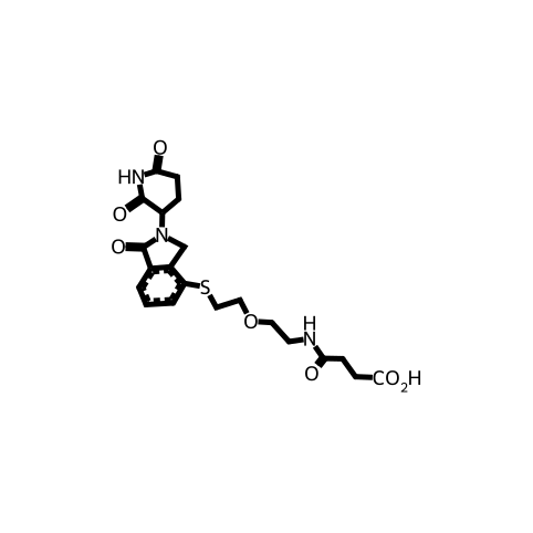 O=C(O)CCC(=O)NCCOCCSc1cccc2c1CN(C1CCC(=O)NC1=O)C2=O